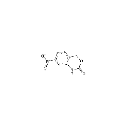 O=C1Nc2cc([N+](=O)[O-])ccc2CO1